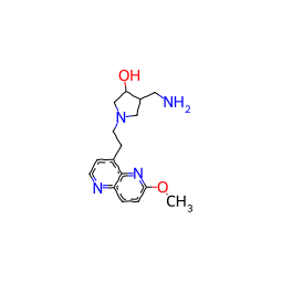 COc1ccc2nccc(CCN3CC(O)C(CN)C3)c2n1